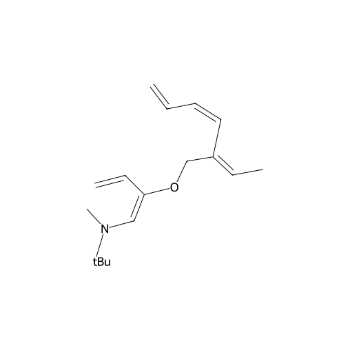 C=C/C=C\C(=C/C)CO/C(C=C)=C/N(C)C(C)(C)C